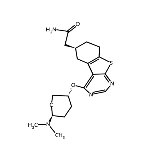 CN(C)[C@H]1CC[C@H](Oc2ncnc3sc4c(c23)C[C@@H](CC(N)=O)CC4)CC1